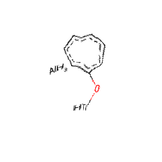 [AlH3].[TiH][O]c1ccccc1